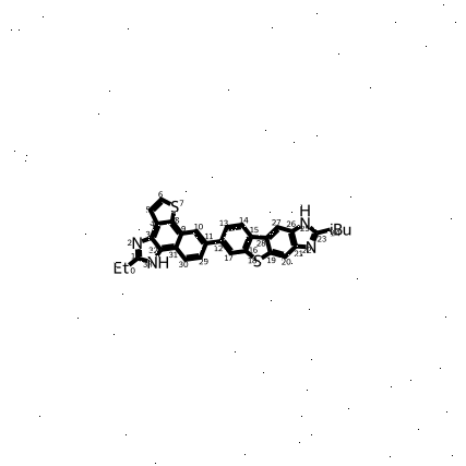 CCc1nc2c3ccsc3c3cc(-c4ccc5c(c4)sc4cc6nc(C(C)CC)[nH]c6cc45)ccc3c2[nH]1